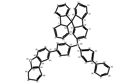 C1=CC2c3ccccc3C3(c4ccccc4-c4ccc(N(c5ccc(-c6ccccc6)cc5)c5ccc(-c6ccc7oc8c(c7c6)C=CCC8)cc5)cc43)C2C=C1